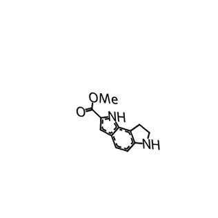 COC(=O)c1cc2ccc3c(c2[nH]1)CCN3